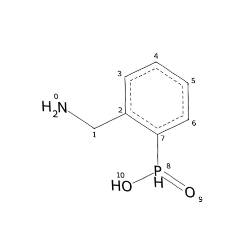 NCc1ccccc1[PH](=O)O